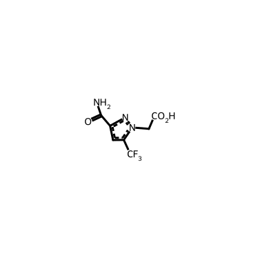 NC(=O)c1cc(C(F)(F)F)n(CC(=O)O)n1